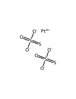 O=S([O-])([O-])=S.O=S([O-])([O-])=S.[Pt+4]